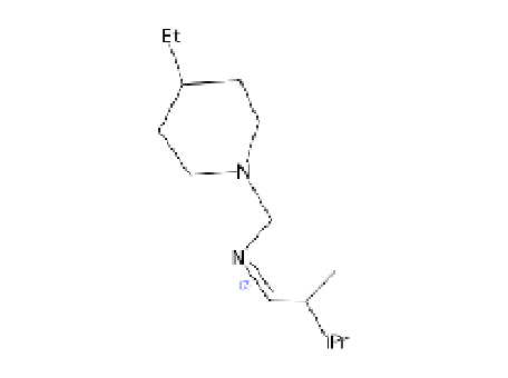 CCC1CCN(C/N=C\C(C)C(C)C)CC1